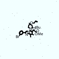 C=CCOC1(C)CCN(c2c([C@H](OC(C)(C)C)C(=O)OC)c(C)c(C)c3nc(-c4cccc(Br)c4)cn23)CC1